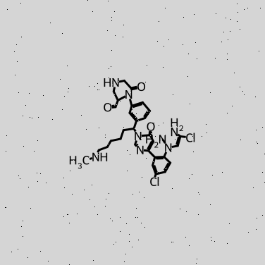 CNCCCCCC(c1cccc(N2C(=O)CNCC2C=O)c1)n1cnc(-c2cc(Cl)ccc2N(N)/C=C(\N)Cl)cc1=O